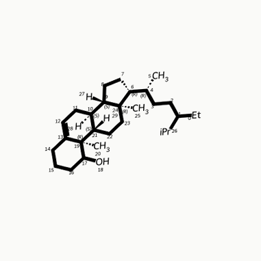 CCC(CC[C@@H](C)[C@H]1CC[C@H]2[C@@H]3CC=C4CCCC(O)[C@]4(C)[C@H]3CC[C@]12C)C(C)C